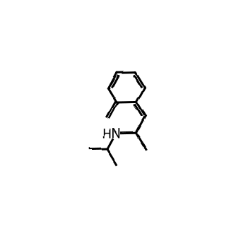 C=c1cccc/c1=C/C(C)NC(C)C